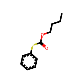 CCC[CH]OC(=O)Sc1ccccc1